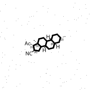 CC(=O)[C@H]1[C@H](C#N)CC2[C@@H]3CC[C@@H]4C[C@@H](C)CC[C@@H]4C3CC[C@@]21C